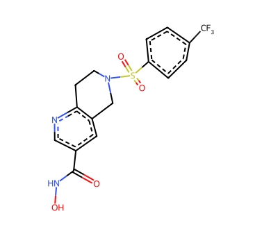 O=C(NO)c1cnc2c(c1)CN(S(=O)(=O)c1ccc(C(F)(F)F)cc1)CC2